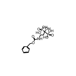 O=C(NCCC(O)(P(=O)(O)O)P(=O)(O)O)OCc1ccccc1